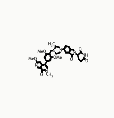 COc1cc2c(-c3cc(OC)c(CN4CCN(c5ccc6c(c5)C(=O)N(C5CCC(=O)NC5=O)C6)CC4C)c(OC)c3)cn(C)c(=O)c2cn1